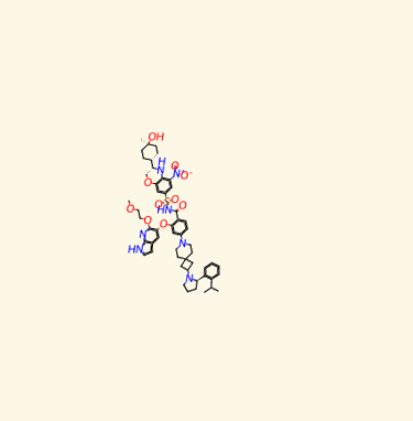 COCCOc1nc2[nH]ccc2cc1Oc1cc(N2CCC3(CC2)CC(N2CCC[C@@H]2c2ccccc2C(C)C)C3)ccc1C(=O)NS(=O)(=O)c1cc2c(c([N+](=O)[O-])c1)N[C@@H]([C@H]1CC[C@](C)(O)CC1)CO2